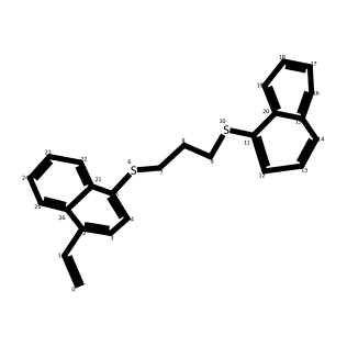 C=Cc1ccc(SCCCSc2cccc3ccccc23)c2ccccc12